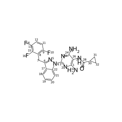 Nc1nc(-n2nc(Cc3c(F)ccc(F)c3F)c3ccccc32)nc(N)c1NC(=O)C1CC1